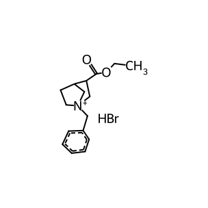 Br.CCOC(=O)C1C[N+]2(Cc3ccccc3)CCC1C2